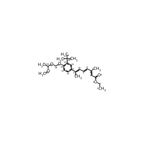 CCOC(=O)C=C(C)C=CC=C(C)c1ccc(OCOC(C)OC)c(C(C)(C)C)c1